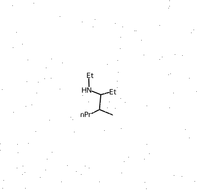 CCCC(C)C(CC)NCC